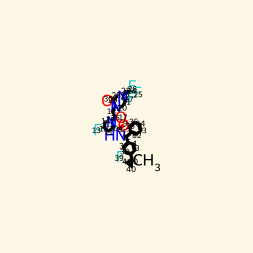 CC1(c2ccc([C@@H](NC(=O)[C@@H]3C[C@@H](F)CN3C(=O)CN3CCN(CC(F)(F)F)CC3=O)c3ccccc3)cc2F)CC1